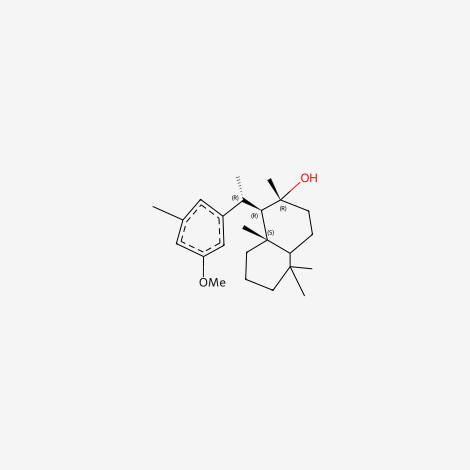 COc1cc(C)cc([C@H](C)[C@@H]2[C@@]3(C)CCCC(C)(C)C3CC[C@@]2(C)O)c1